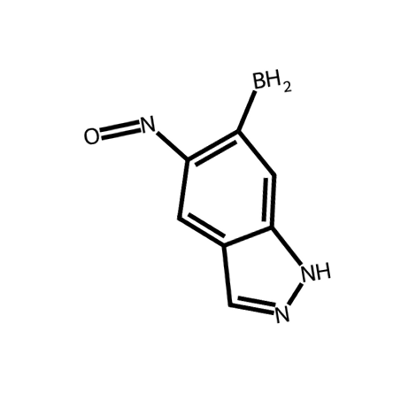 Bc1cc2[nH]ncc2cc1N=O